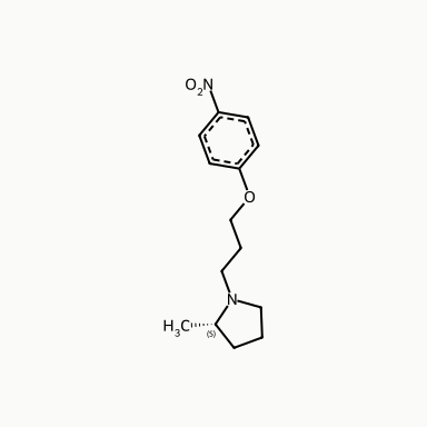 C[C@H]1CCCN1CCCOc1ccc([N+](=O)[O-])cc1